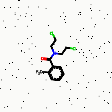 O=C(c1ccccc1C(F)(F)F)N(CCCl)CCCl